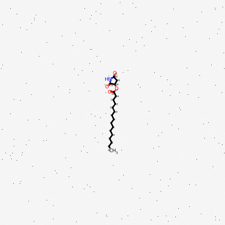 CCCCCCCCCCCCCCCC(=O)OC1CC(=O)NC1=O